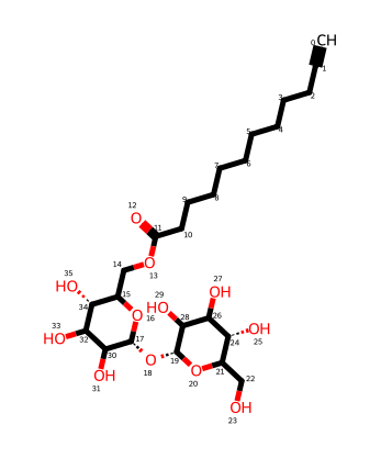 C#CCCCCCCCCCC(=O)OCC1O[C@H](O[C@H]2OC(CO)[C@@H](O)C(O)C2O)C(O)C(O)[C@@H]1O